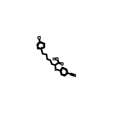 N#Cc1ccc(SC(CCCCCc2ccc(Cl)cc2)C(=O)O)cc1